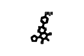 Cn1c(=O)c2nc(-c3ccc(C(=O)O)cc3)nnc2n(C2CCCC2)c1=O